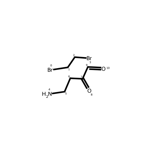 BrCCBr.NCCC(=O)C=O